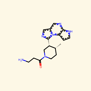 C[C@@H]1CCN(C(=O)CCN)C[C@@H]1c1ncc2cnc3[nH]ccc3n12